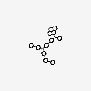 C1=Cc2cc(N(c3ccccc3)c3ccc(-c4ccc(N(c5ccc(-c6ccccc6)cc5)c5ccc(-c6cccc(-c7ccccc7)c6)cc5)cc4)cc3)c3cccc4c3c2C(=CC4)C1